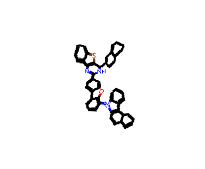 C1=CC2C=Cc3c(c4ccccc4n3-c3cccc4c3oc3cc(C5=Nc6c(sc7ccccc67)C(c6ccc7ccccc7c6)N5)ccc34)C2C=C1